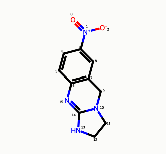 O=[N+]([O-])c1ccc2c(c1)CN1CCNC1=N2